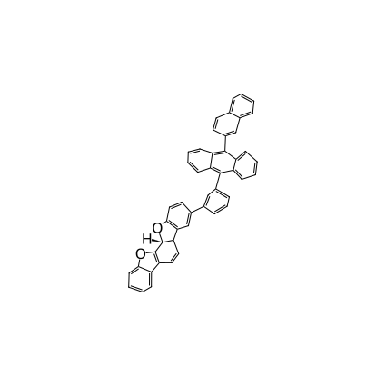 C1=CC2c3cc(-c4cccc(-c5c6ccccc6c(-c6ccc7ccccc7c6)c6ccccc56)c4)ccc3O[C@H]2c2oc3ccccc3c21